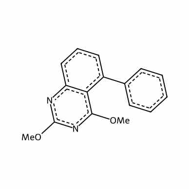 COc1nc(OC)c2c(-c3ccccc3)cccc2n1